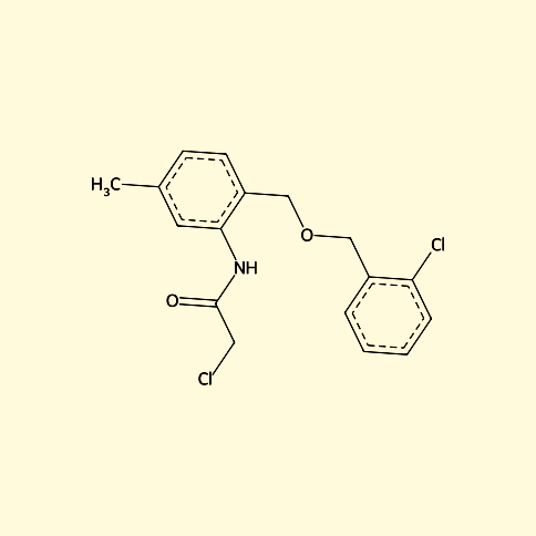 Cc1ccc(COCc2ccccc2Cl)c(NC(=O)CCl)c1